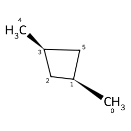 C[C@H]1C[C@@H](C)C1